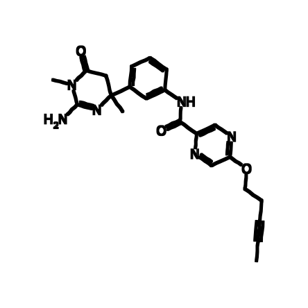 CC#CCCOc1cnc(C(=O)Nc2cccc(C3(C)CC(=O)N(C)C(N)=N3)c2)cn1